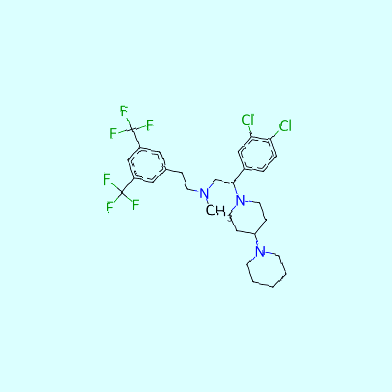 CN(CCc1cc(C(F)(F)F)cc(C(F)(F)F)c1)CC(c1ccc(Cl)c(Cl)c1)N1CCC(N2CCCCC2)CC1